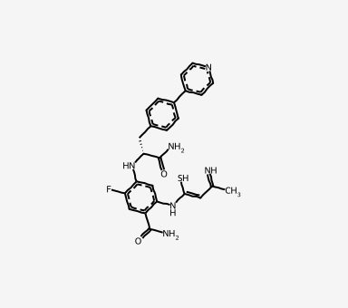 CC(=N)/C=C(\S)Nc1cc(N[C@H](Cc2ccc(-c3ccncc3)cc2)C(N)=O)c(F)cc1C(N)=O